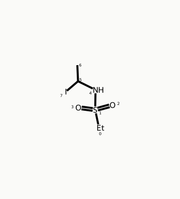 CCS(=O)(=O)NC(C)I